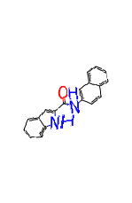 O=C(Nc1ccc2ccccc2c1)c1cc2ccccc2[nH]1